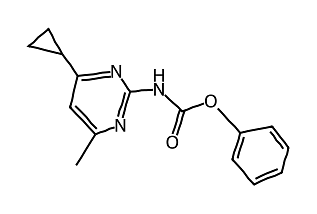 Cc1cc(C2CC2)nc(NC(=O)Oc2ccccc2)n1